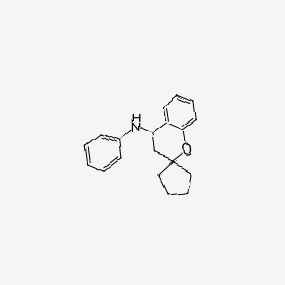 c1ccc(NC2CC3(CCCC3)Oc3ccccc32)cc1